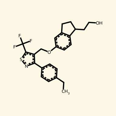 CCc1ccc(-c2nsc(C(F)(F)F)c2COc2ccc3c(c2)CCC3CCO)cc1